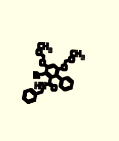 COCOc1cc(OCOC)c(-c2ccccc2)c(C(=O)NCc2ccccc2)c1Br